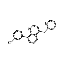 Clc1cccc(-c2cccc3c(Cc4ccccn4)ccnc23)c1